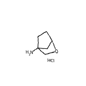 Cl.NC12CCC(C1)OC2